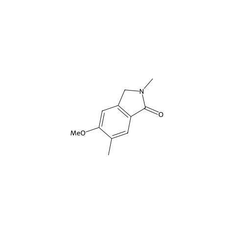 COc1cc2c(cc1C)C(=O)N(C)C2